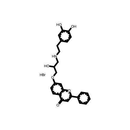 Br.O=c1cc(-c2ccccc2)oc2cc(OCC(O)CNCCc3ccc(O)c(O)c3)ccc12